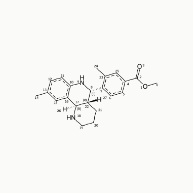 COC(=O)c1ccc([C@H]2Nc3ccc(C)cc3[C@@H]3NCCC[C@@H]23)c(C)c1